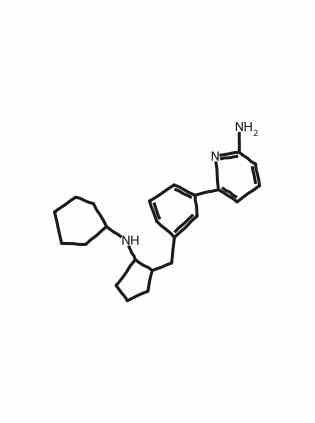 Nc1cccc(-c2cccc(CC3CCCC3NC3CCCCC3)c2)n1